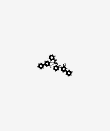 O=S(OC1CCCCC1Oc1ccc(-c2ccccc2)cc1Cl)OC1CCCCC1Oc1ccc(-c2ccccc2)cc1Cl